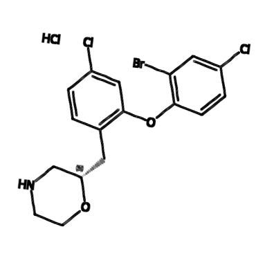 Cl.Clc1ccc(Oc2cc(Cl)ccc2C[C@H]2CNCCO2)c(Br)c1